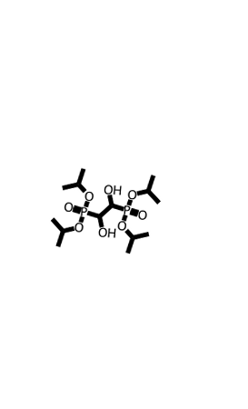 CC(C)OP(=O)(OC(C)C)C(O)C(O)P(=O)(OC(C)C)OC(C)C